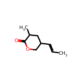 C/C=C/C1COC(=O)C(C)C1